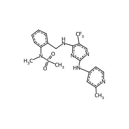 Cc1cc(Nc2ncc(C(F)(F)F)c(NCc3ccccc3N(C)S(C)(=O)=O)n2)ccn1